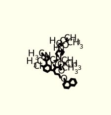 Cc1nn(C)c(C)c1-c1c(Cl)ccc2c(CCCOc3cccc4ccccc34)c(C(=O)OC(C)(C)C)n(CCN3C[C@@H]4CC3CN4C(=O)OC(C)(C)C)c12